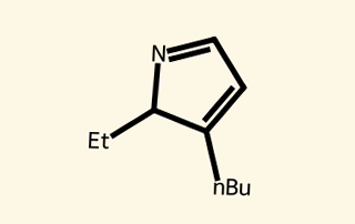 CCCCC1=CC=NC1CC